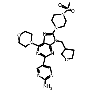 CS(=O)(=O)N1CCN(c2nc3c(N4CCOCC4)nc(-c4cnc(N)nc4)nc3n2CC2CCOC2)CC1